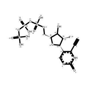 C#Cc1[nH]c(=O)ncc1[C@@H]1O[C@H](COP(=O)(O)OP(=O)(O)OP(=O)(O)O)C(O)[C@@H]1F